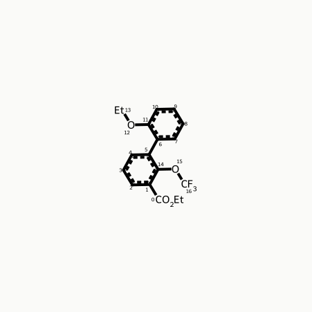 CCOC(=O)c1cccc(-c2ccccc2OCC)c1OC(F)(F)F